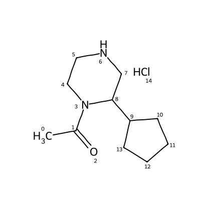 CC(=O)N1CCNCC1C1CCCC1.Cl